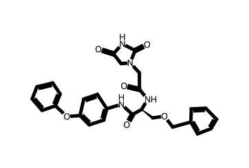 O=C1CN(CC(=O)N[C@@H](COCc2ccccc2)C(=O)Nc2ccc(Oc3ccccc3)cc2)C(=O)N1